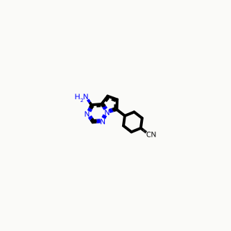 N#CC1CCC(c2ccc3c(N)ncnn23)CC1